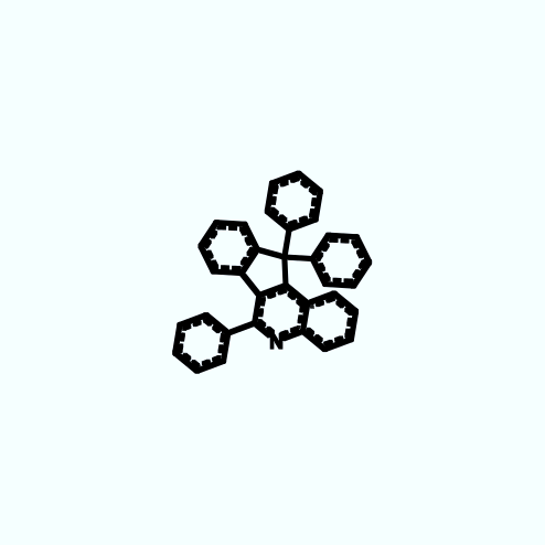 c1ccc(-c2nc3ccccc3c3c2-c2ccccc2C3(c2ccccc2)c2ccccc2)cc1